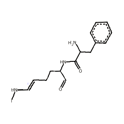 NC(Cc1ccccc1)C(=O)NC(C=O)CC/C=C/NI